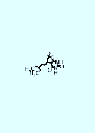 CCC(CC)CCc1cc(=O)oc2[nH]c(=O)[nH]c(=O)c12